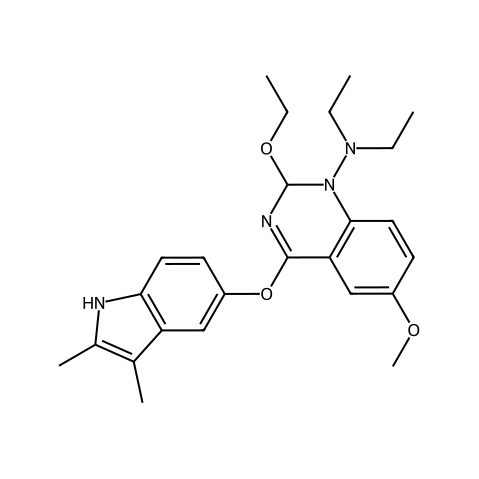 CCOC1N=C(Oc2ccc3[nH]c(C)c(C)c3c2)c2cc(OC)ccc2N1N(CC)CC